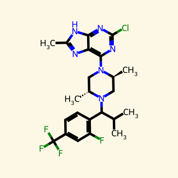 Cc1nc2c(N3C[C@@H](C)N(C(c4ccc(C(F)(F)F)cc4F)C(C)C)C[C@@H]3C)nc(Cl)nc2[nH]1